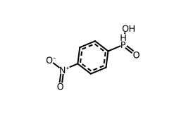 O=[N+]([O-])c1ccc([PH](=O)O)cc1